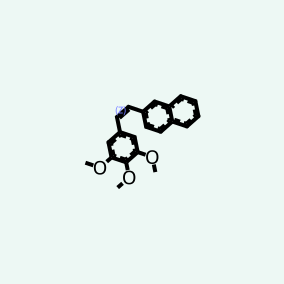 COc1cc(/C=C\c2ccc3ccccc3c2)cc(OC)c1OC